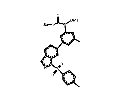 CON(C(=O)OC(C)(C)C)c1cc(C)cc(-c2ccc3cnn(S(=O)(=O)c4ccc(C)cc4)c3c2)c1